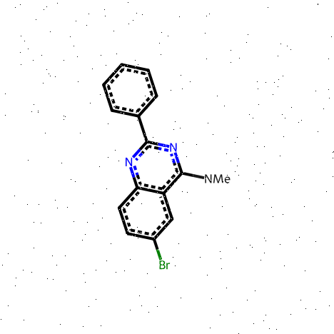 CNc1nc(-c2ccccc2)nc2ccc(Br)cc12